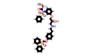 CC(C)(C)OC(=O)N(c1cc(OCC(O)CNCCc2ccc(OCP(=O)(c3ccccc3)c3ccccc3)cc2)ccc1F)S(=O)(=O)c1ccccc1